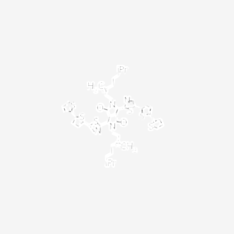 CC(C)CCC[C@H](C)CCN1C(=O)C2=C(c3ncc(-c4ccc(-c5cccs5)s4)s3)N(CC[C@@H](C)CCCC(C)C)C(=O)C2=C1c1ncc(-c2ccc(-c3cccs3)s2)s1